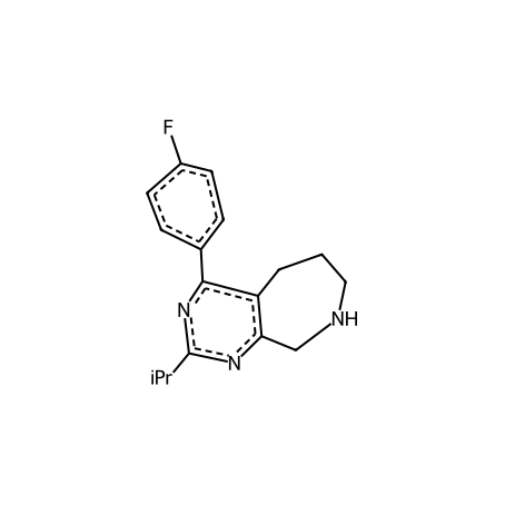 CC(C)c1nc2c(c(-c3ccc(F)cc3)n1)CCCNC2